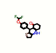 O=C1CCCC2=C1C(c1ccc(OC(F)F)cc1)C1=C(CCS1)N2